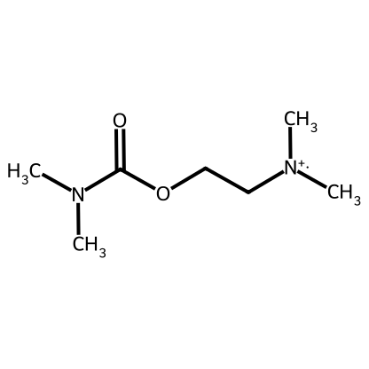 CN(C)C(=O)OCC[N+](C)C